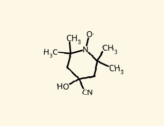 CC1(C)CC(O)(C#N)CC(C)(C)N1[O]